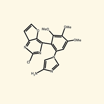 COc1cc(-n2cnc(N)c2)c(-c2nc(Cl)nc3ccoc23)c(OC)c1OC